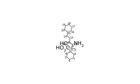 CC(C(=O)O)(C1CCCCC1)C(N)C(O)CCC1CCCCC1